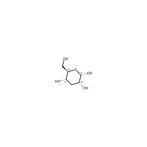 OC[C@H]1O[C@H](O)[C@H](O)C[C@@H]1O